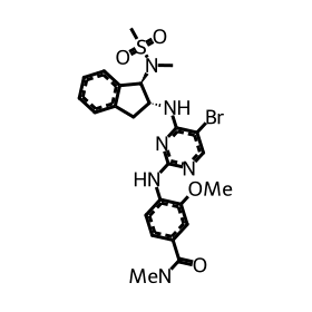 CNC(=O)c1ccc(Nc2ncc(Br)c(N[C@@H]3Cc4ccccc4[C@H]3N(C)S(C)(=O)=O)n2)c(OC)c1